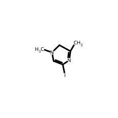 CC1=NC(I)=CN(C)C1